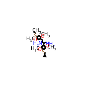 CCCSc1cc(OC)c(CC(N)C(CN)c2cc(OC)c(SCC3CC3)cc2OC)cc1OC